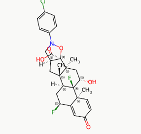 C[C@]12C[C@H](O)[C@@]3(F)[C@@H](C[C@H](F)C4=CC(=O)C=C[C@@]43C)[C@]1(C)C[C@H]1CN(c3ccc(Cl)cc3)O[C@]12C(=O)O